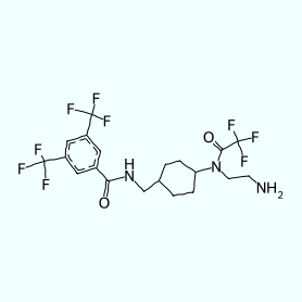 NCCN(C(=O)C(F)(F)F)C1CCC(CNC(=O)c2cc(C(F)(F)F)cc(C(F)(F)F)c2)CC1